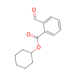 O=Cc1ccccc1C(=O)OC1CCCCC1